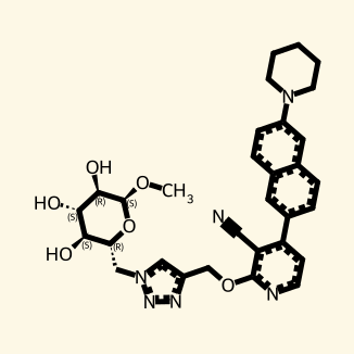 CO[C@H]1O[C@H](Cn2cc(COc3nccc(-c4ccc5cc(N6CCCCC6)ccc5c4)c3C#N)nn2)[C@@H](O)[C@H](O)[C@H]1O